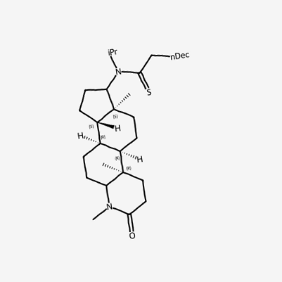 CCCCCCCCCCCC(=S)N(C(C)C)C1CC[C@H]2[C@@H]3CCC4N(C)C(=O)CC[C@]4(C)[C@@H]3CC[C@]12C